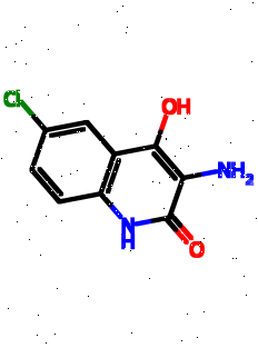 Nc1c(O)c2cc(Cl)ccc2[nH]c1=O